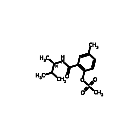 Cc1ccc(OS(C)(=O)=O)c(C(=O)N[C@H](C)C(C)C)c1